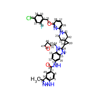 Cc1n[nH]c2ccc(C(=O)Nc3ccc4c(c3)nc(C3CC35CCN(c3cccc(OCc6ccc(Cl)cc6F)n3)CC5)n4C[C@@H]3CCO3)cc12